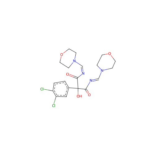 O=C(N=CN1CCOCC1)C(O)(C(=O)N=CN1CCOCC1)c1ccc(Cl)c(Cl)c1